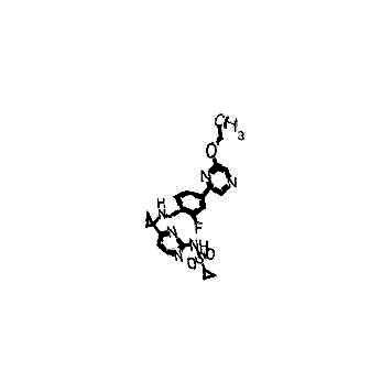 CCOc1cncc(-c2ccc(CNC3(c4ccnc(NS(=O)(=O)C5CC5)n4)CC3)c(F)c2)n1